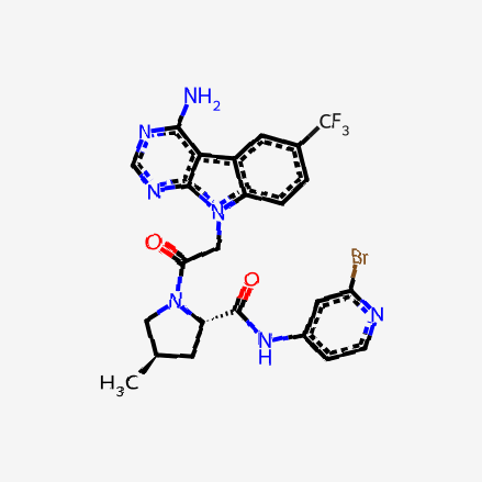 C[C@@H]1C[C@@H](C(=O)Nc2ccnc(Br)c2)N(C(=O)Cn2c3ccc(C(F)(F)F)cc3c3c(N)ncnc32)C1